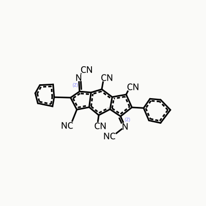 N#C/N=c1/c(-c2ccccc2)c(C#N)c2c(C#N)c3/c(=N\C#N)c(-c4ccccc4)c(C#N)c3c(C#N)c12